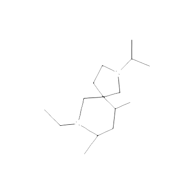 CCN1CC2(CCN(C(C)C)C2)C(C)CC1C